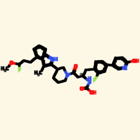 COC(F)CCc1cccc2[nH]c(C3CCCN(C(=O)C[C@@H](Cc4ccc(-c5ccc(O)nc5)cc4F)NC(=O)O)C3)c(C)c12